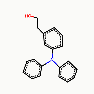 OCCc1cccc(N(c2ccccc2)c2ccccc2)c1